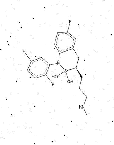 CNCCC[C@@H]1Cc2cc(F)ccc2N(c2cc(F)ccc2F)S1(O)O